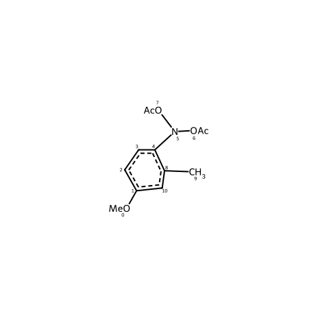 COc1ccc(N(OC(C)=O)OC(C)=O)c(C)c1